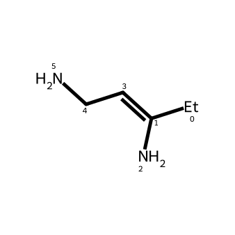 [CH2]CC(N)=CCN